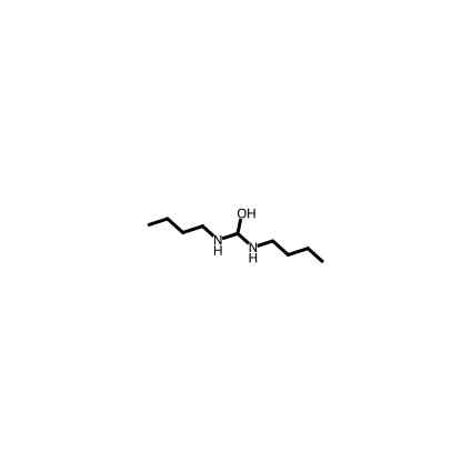 CCCCNC(O)NCCCC